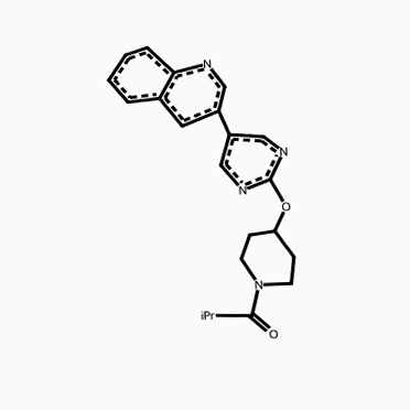 CC(C)C(=O)N1CCC(Oc2ncc(-c3cnc4ccccc4c3)cn2)CC1